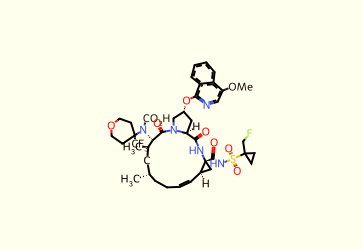 COc1cnc(O[C@@H]2C[C@H]3C(=O)N[C@]4(C(=O)NS(=O)(=O)C5(CF)CC5)C[C@H]4C=CCC[C@H](C)C[C@@H](C)[C@H](N(C(=O)O)C4(C(F)(F)F)CCOCC4)C(=O)N3C2)c2ccccc12